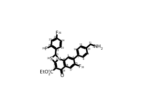 CCOC(=O)c1c2n(c3cc(-c4ccc(CN)cc4)c(F)cc3c1=O)C(c1ccc(F)cc1F)S2